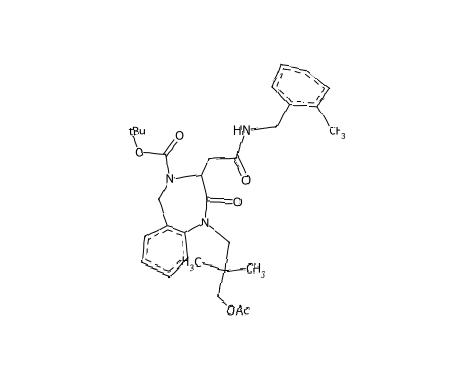 CC(=O)OCC(C)(C)CN1C(=O)C(CC(=O)NCc2ccccc2C(F)(F)F)N(C(=O)OC(C)(C)C)Cc2ccccc21